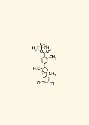 Cc1cc(C2CC(C)(c3cc(Cl)cc(Cl)c3)ON2C)ccc1C(=O)OC(C)(C)C